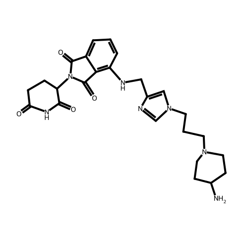 NC1CCN(CCCn2cnc(CNc3cccc4c3C(=O)N(C3CCC(=O)NC3=O)C4=O)c2)CC1